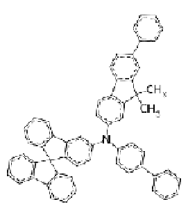 CC1(C)c2cc(-c3ccccc3)ccc2-c2ccc(N(c3ccc(-c4ccccc4)cc3)c3ccc4c(c3)-c3ccccc3C43c4ccccc4-c4ccccc43)cc21